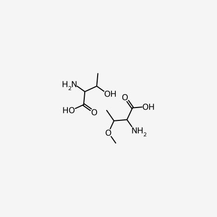 CC(O)C(N)C(=O)O.COC(C)C(N)C(=O)O